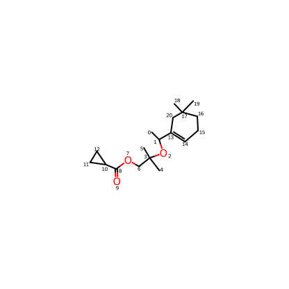 CC(OC(C)(C)COC(=O)C1CC1)C1=CCCC(C)(C)C1